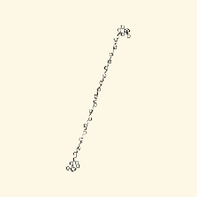 O=C(CCOCCOCCOCCOCCOCCOCCOCCOCCOCCOCCOCCOCCOCCOCCOCCOCCOCCC(=O)ON1C(=O)CCC1=O)ON1C(=O)CCC1=O